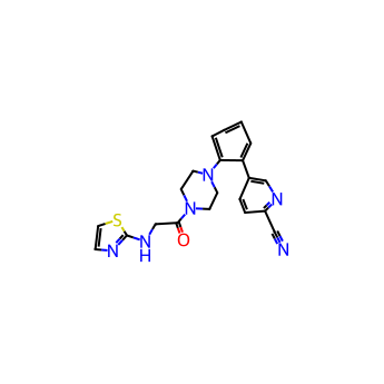 N#Cc1ccc(-c2ccccc2N2CCN(C(=O)CNc3nccs3)CC2)cn1